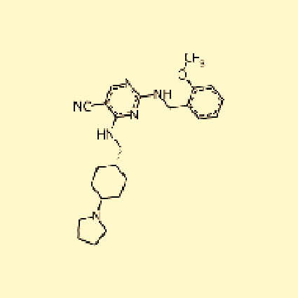 N#Cc1cnc(NCc2ccccc2OC(F)(F)F)nc1NC[C@H]1CC[C@H](N2CCCC2)CC1